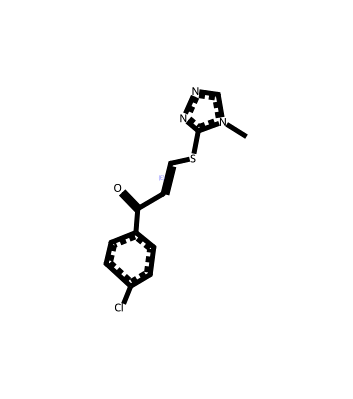 Cn1cnnc1S/C=C/C(=O)c1ccc(Cl)cc1